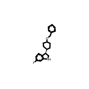 Fc1ccc2c(c1)NC[C@@H]2C1CCC(OCc2ccccc2)CC1